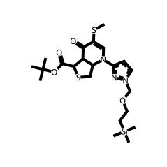 CSC1=CN(c2ccn(COCC[Si](C)(C)C)n2)C2CSC(C(=O)OC(C)(C)C)C2C1=O